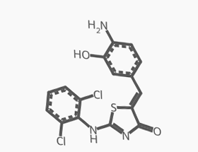 Nc1ccc(/C=C2\SC(Nc3c(Cl)cccc3Cl)=NC2=O)cc1O